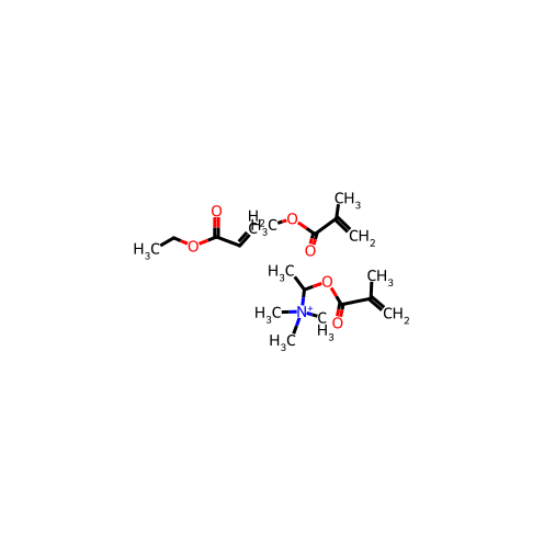 C=C(C)C(=O)OC.C=C(C)C(=O)OC(C)[N+](C)(C)C.C=CC(=O)OCC